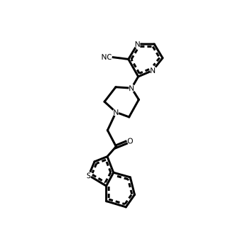 N#Cc1nccnc1N1CCN(CC(=O)c2csc3ccccc23)CC1